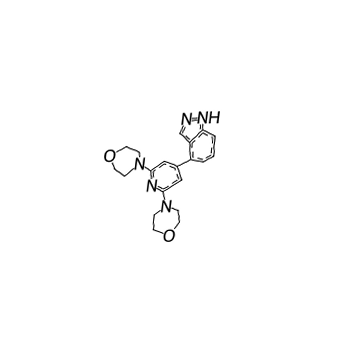 c1cc(-c2cc(N3CCOCC3)nc(N3CCOCC3)c2)c2cn[nH]c2c1